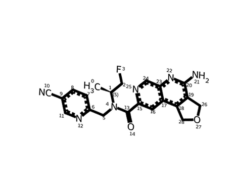 C[C@@H](CF)N(Cc1ccc(C#N)cn1)C(=O)c1cc2c3c(c(N)nc2cn1)COC3